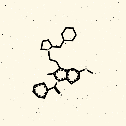 COc1ccc2c(c1)c(CCN1CCCC1CC1CCCCC1)c(C)n2C(=O)c1ccccc1